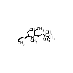 C/C=C\C=C(/CC)N(C)/C(=C/CC(C)(C)C)CC